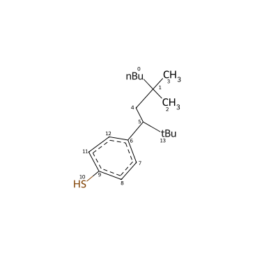 CCCCC(C)(C)CC(c1ccc(S)cc1)C(C)(C)C